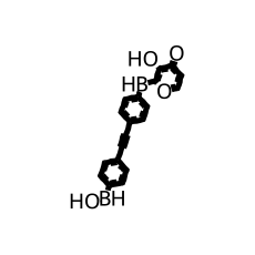 O=c1ccoc(Bc2ccc(C#Cc3ccc(BO)cc3)cc2)c1O